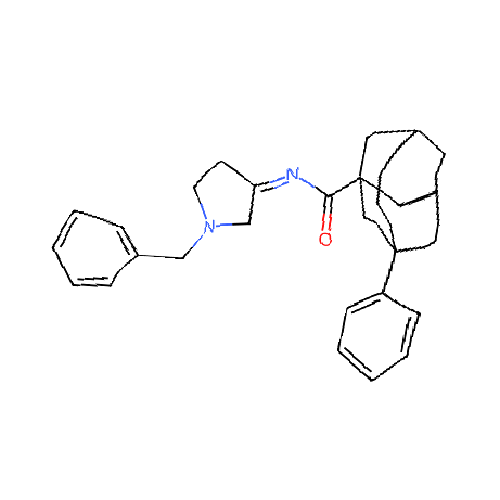 O=C(/N=C1/CCN(Cc2ccccc2)C1)C12CC3CC(C1)CC(c1ccccc1)(C3)C2